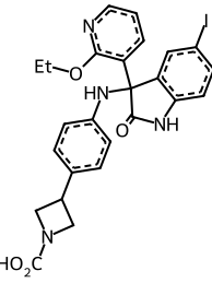 CCOc1ncccc1C1(Nc2ccc(C3CN(C(=O)O)C3)cc2)C(=O)Nc2ccc(I)cc21